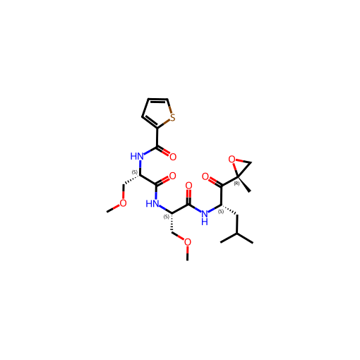 COC[C@H](NC(=O)c1cccs1)C(=O)N[C@@H](COC)C(=O)N[C@@H](CC(C)C)C(=O)[C@@]1(C)CO1